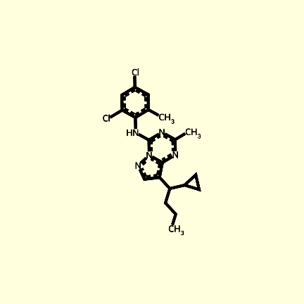 CCCC(c1cnn2c(Nc3c(C)cc(Cl)cc3Cl)nc(C)nc12)C1CC1